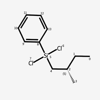 CC[C@H](C)C[Si](Cl)(Cl)c1ccccc1